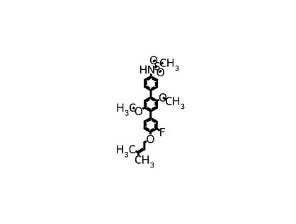 COc1cc(-c2ccc(OCC=C(C)C)c(F)c2)c(OC)cc1-c1ccc(NS(C)(=O)=O)cc1